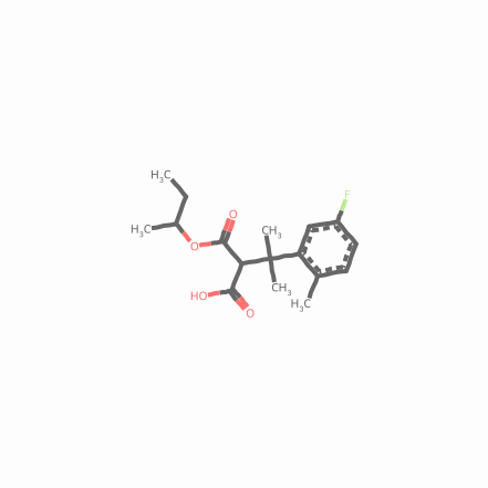 CCC(C)OC(=O)C(C(=O)O)C(C)(C)c1cc(F)ccc1C